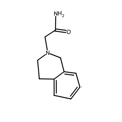 NC(=O)CN1CCc2cc[c]cc2C1